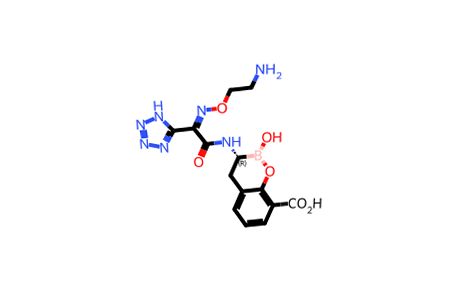 NCCON=C(C(=O)N[C@H]1Cc2cccc(C(=O)O)c2OB1O)c1nnn[nH]1